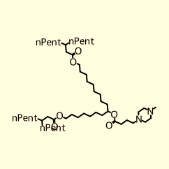 CCCCCC(CCCCC)CC(=O)OCCCCCCCCCC(CCCCCCCOC(=O)CC(CCCCC)CCCCC)OC(=O)CCCN1CCN(C)CC1